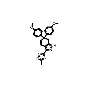 COc1ccc(C2(c3ccc(OC)cc3)C=Cc3c(-c4nc(C)no4)n[nH]c3C2)cc1